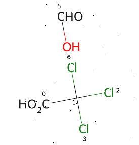 O=C(O)C(Cl)(Cl)Cl.O=CO